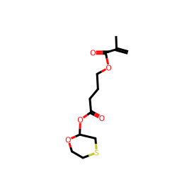 C=C(C)C(=O)OCCCC(=O)OC1CSCCO1